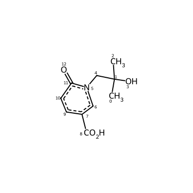 CC(C)(O)Cn1cc(C(=O)O)ccc1=O